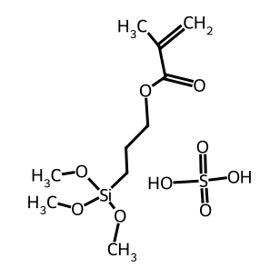 C=C(C)C(=O)OCCC[Si](OC)(OC)OC.O=S(=O)(O)O